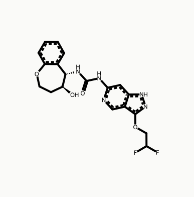 O=C(Nc1cc2[nH]nc(OCC(F)F)c2cn1)N[C@H]1c2ccccc2OCC[C@@H]1O